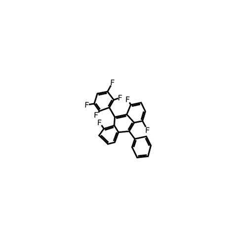 Fc1cc(F)c(F)c(-c2c3c(F)cccc3c(-c3ccccc3)c3c(F)ccc(F)c23)c1F